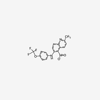 Cc1ccc2c([N+](=O)[O-])c(Nc3ccc(OC(F)(F)F)cc3)ccc2n1